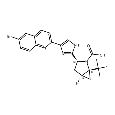 CC(C)(C)[C@@]12C[C@H]1C[C@@H](c1nc(-c3ccc4cc(Br)ccc4n3)c[nH]1)N2C(=O)O